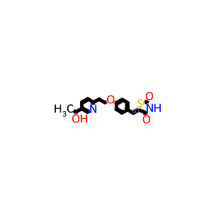 CC(O)c1ccc(CCOc2ccc(/C=C3\SC(=O)NC3=O)cc2)nc1